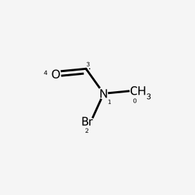 CN(Br)[C]=O